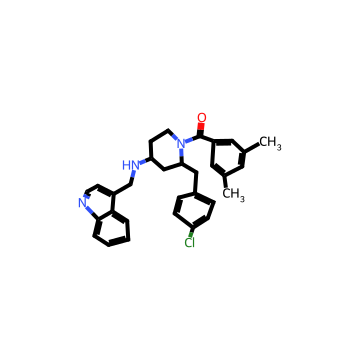 Cc1cc(C)cc(C(=O)N2CCC(NCc3ccnc4ccccc34)CC2Cc2ccc(Cl)cc2)c1